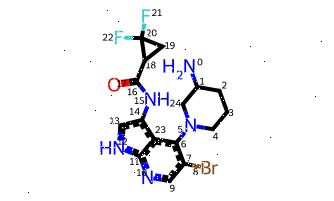 NC1CCCN(c2c(Br)cnc3[nH]cc(NC(=O)C4CC4(F)F)c23)C1